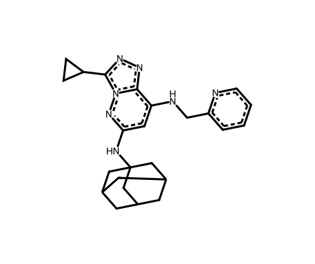 c1ccc(CNc2cc(NC34CC5CC(CC(C5)C3)C4)nn3c(C4CC4)nnc23)nc1